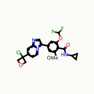 COc1cc(-c2cnc3cc(C4(Cl)COC4)ccn23)cc(OC(F)F)c1C(=O)NC1CC1